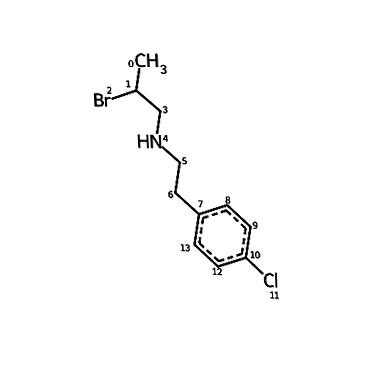 CC(Br)CNCCc1ccc(Cl)cc1